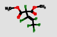 COC(=O)C(F)(C(=O)OC)C(F)=C(F)C(F)(F)F